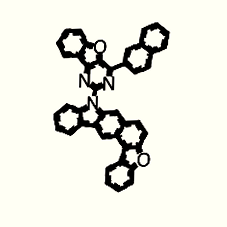 c1ccc2cc(-c3nc(-n4c5ccccc5c5cc6c(ccc7oc8ccccc8c76)cc54)nc4c3oc3ccccc34)ccc2c1